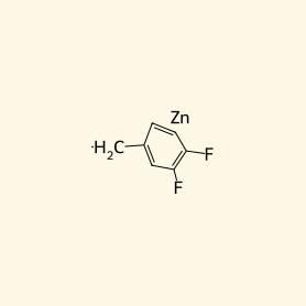 [CH2]c1ccc(F)c(F)c1.[Zn]